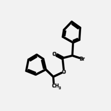 CC(OC(=O)C(Br)c1ccccc1)c1ccccc1